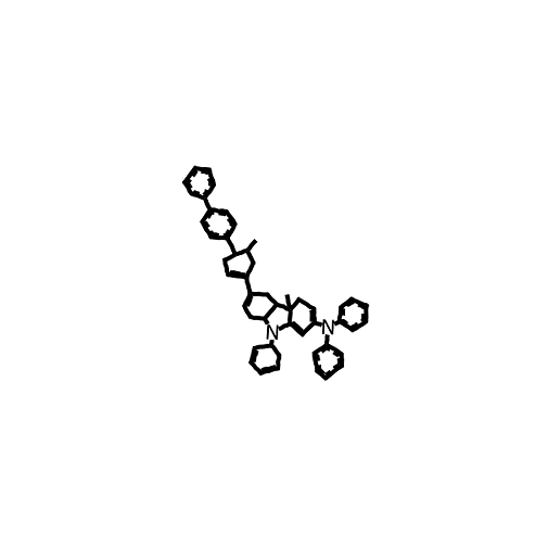 CC1CC(C2=CCC3C(C2)C2(C)CC=C(N(c4ccccc4)c4ccccc4)C=C2N3C2C=CC=CC2)=CCC1c1ccc(-c2ccccc2)cc1